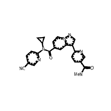 CNC(=O)c1ccc(-c2cnn3ccc(C(=O)N(c4ccc(C#N)cn4)C4CC4)cc23)nc1